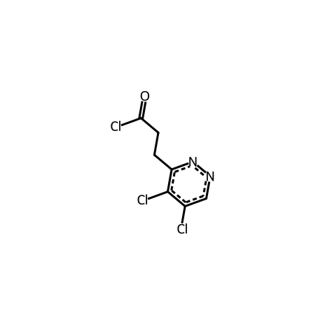 O=C(Cl)CCc1nncc(Cl)c1Cl